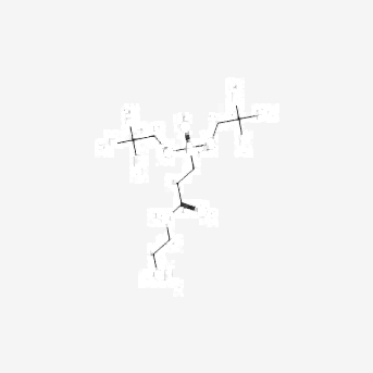 CCCOC(=O)CCP(=O)(OCC(F)(F)F)OCC(F)(F)F